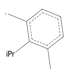 [CH2]c1cccc(C)c1C(C)C